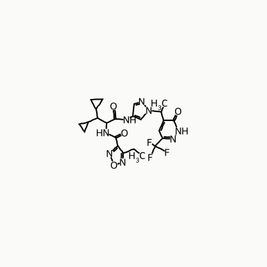 CCc1nonc1C(=O)NC(C(=O)Nc1cnn(C(C)c2cc(C(F)(F)F)n[nH]c2=O)c1)C(C1CC1)C1CC1